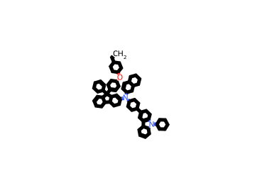 C=CC1CCC(OC2CC=C(C3(C4C=CCCC4)C4C=CCCC4C4CCC(N(C5C=CC6CCCCC6C5)C5CCC(C6=CC7=C(CC6)N(C6CCCCC6)C6CC=CCC76)CC5)=CC43)CC2)CC1